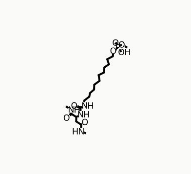 CNC(=O)CC(NC(=O)NCCCCCCCCCCCCOP(=O)(O)OC)C(=O)NC